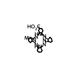 O=C(O)c1ccc2c3nc4nc(nc5[nH]c(nc6nc(nc([nH]3)c2c1)-c1ccccc1-6)c1ccccc51)-c1ccccc1-4.[Mn]